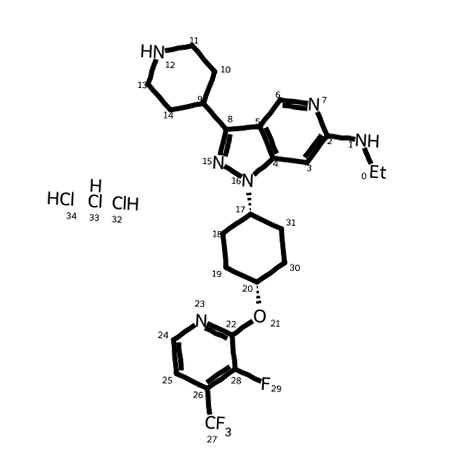 CCNc1cc2c(cn1)c(C1CCNCC1)nn2[C@H]1CC[C@@H](Oc2nccc(C(F)(F)F)c2F)CC1.Cl.Cl.Cl